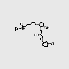 O=C(CCC/C=C\CC1CC[C@@H](O)[C@@H]1/C=C/[C@@H](O)COc1cccc(Cl)c1)NC1CC1